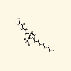 CCCCCCCCN1C=CN(CCCCCC)C1C(C)C